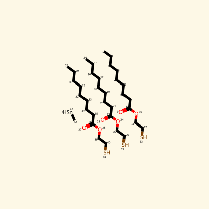 CCCCCCCCC(=O)OCCS.CCCCCCCCC(=O)OCCS.CCCCCCCCC(=O)OCCS.[CH3][SnH]